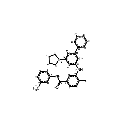 Cc1ccc(C(=O)Nc2cccc(C(F)(F)F)c2)cc1Nc1nc(-c2cccnc2)nc(N2CCCC2)n1